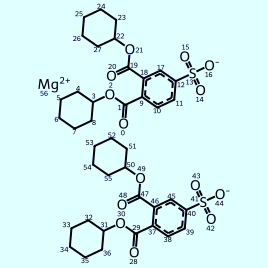 O=C(OC1CCCCC1)c1ccc(S(=O)(=O)[O-])cc1C(=O)OC1CCCCC1.O=C(OC1CCCCC1)c1ccc(S(=O)(=O)[O-])cc1C(=O)OC1CCCCC1.[Mg+2]